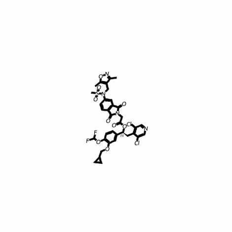 Cc1noc(C)c1CN(c1ccc2c(c1)C(=O)N(CC(=O)O[C@@H](Cc1c(Cl)cncc1Cl)c1ccc(OC(F)F)c(OCC3CC3)c1)C2=O)S(C)(=O)=O